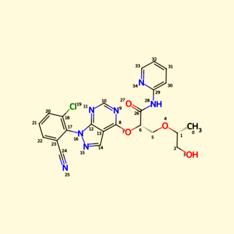 C[C@H](CO)OC[C@H](Oc1ncnc2c1cnn2-c1c(Cl)cccc1C#N)C(=O)Nc1ccccn1